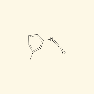 Cc1cc[c]c(N=C=O)c1